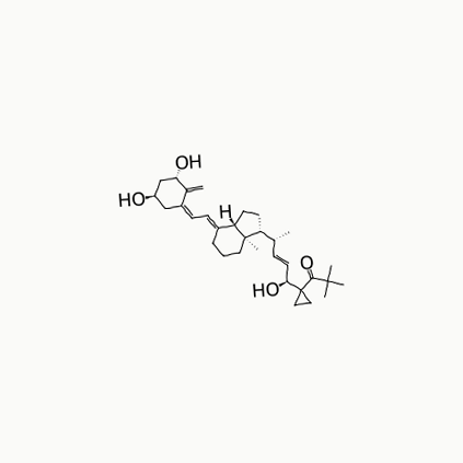 C=C1/C(=C\C=C2/CCC[C@]3(C)[C@@H]([C@H](C)/C=C/[C@H](O)C4(C(=O)C(C)(C)C)CC4)CC[C@@H]23)C[C@@H](O)C[C@@H]1O